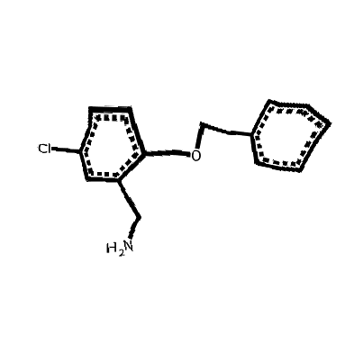 NCc1cc(Cl)ccc1OCc1ccccc1